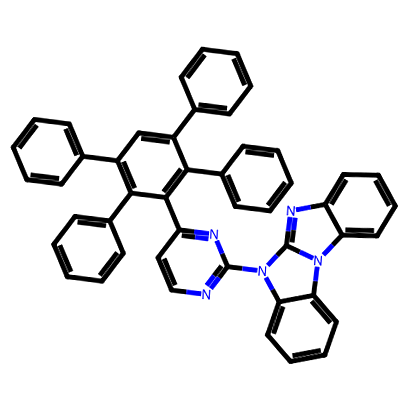 c1ccc(-c2cc(-c3ccccc3)c(-c3ccccc3)c(-c3ccnc(-n4c5ccccc5n5c6ccccc6nc45)n3)c2-c2ccccc2)cc1